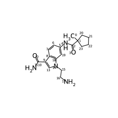 CC1(C(=O)Nc2ccc3c(C(N)=O)cn(CCN)c3c2)CCCC1